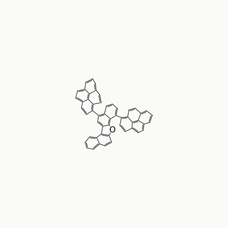 c1ccc2c(c1)ccc1oc3c(cc(-c4ccc5ccc6cccc7ccc4c5c67)c4cccc(-c5ccc6ccc7cccc8ccc5c6c78)c43)c12